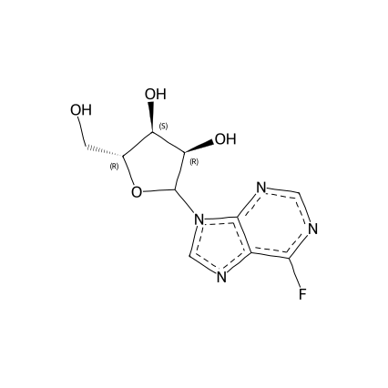 OC[C@H]1OC(n2cnc3c(F)ncnc32)[C@H](O)[C@@H]1O